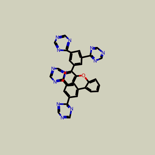 c1ccc(-c2cc(-c3ncncn3)cc(-c3ncncn3)c2)c(Oc2ccccc2-c2cc(-c3ncncn3)cc(-c3ncncn3)c2)c1